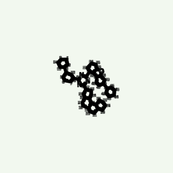 c1ccc(-c2cccc(-c3nc(-c4ccc5c(ccc6ccc7ccccc7c65)c4)nc(-c4cccc5oc6cc(-c7ccccc7)ccc6c45)n3)c2)cc1